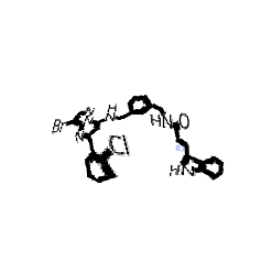 O=C(/C=C/c1c[nH]c2ccccc12)NCc1cccc(CNc2cc(-c3ccccc3Cl)nc3c(Br)cnn23)c1